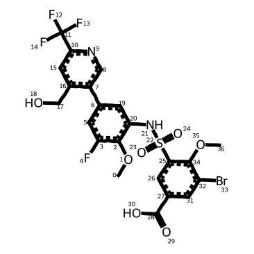 COc1c(F)cc(-c2cnc(C(F)(F)F)cc2CO)cc1NS(=O)(=O)c1cc(C(=O)O)cc(Br)c1OC